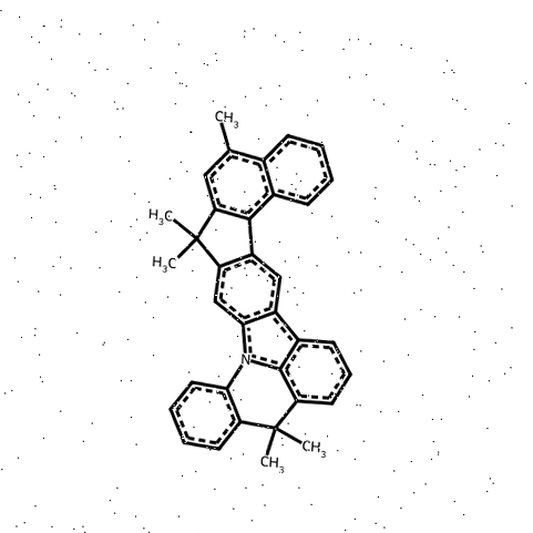 Cc1cc2c(c3ccccc13)-c1cc3c4cccc5c4n(c3cc1C2(C)C)-c1ccccc1C5(C)C